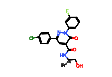 CC(C)[C@@H](CO)NC(=O)c1cc(-c2ccc(Cl)cc2)nn(-c2cccc(F)c2)c1=O